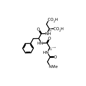 CNCC(=O)N[C@@H](C)C(=O)NC(Cc1ccccc1)C(=O)N[C@@H](CC(=O)O)C(=O)O